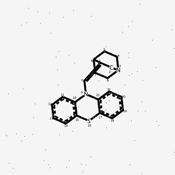 C(=C1/CN2CCC1CC2)/N1c2ccccc2Sc2ccccc21